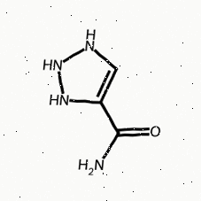 NC(=O)C1=CNNN1